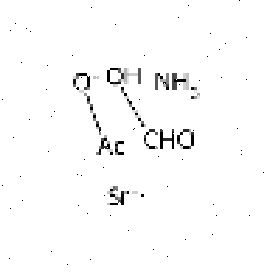 CC(=O)[O-].N.O=CO.[Sr+]